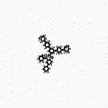 c1ccc(-c2ccc3c(c2)C(c2ccccc2)NC(c2cc(-c4ccc(-c5cccnc5)cc4)cc(-c4ccc(-c5cccnc5)cc4)c2)=N3)cc1